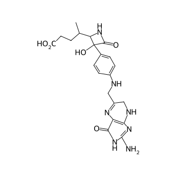 CC(CCC(=O)O)C1NC(=O)C1(O)c1ccc(NCC2=Nc3c(nc(N)[nH]c3=O)NC2)cc1